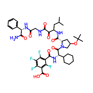 CC(C)CC(NC(=O)[C@@H]1C[C@@H](OC(C)(C)C)CN1C(=O)[C@@H](NC(=O)c1c(F)c(F)c(F)c(C(=O)O)c1F)C1CCCCC1)C(=O)C(=O)NCC(=O)N[C@H](C(N)=O)c1ccccc1